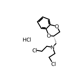 Cl.ClCCN(CCCl)C[C@H]1COc2ccccc2O1